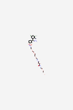 COCCOCCNC(=O)C(O)C(O)C(=O)NCCOCCOCCOCCNS(=O)(=O)c1cccc(C2CN(C)Cc3c(Cl)cc(Cl)cc32)c1